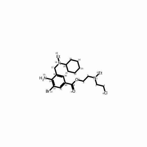 CCN(CCCl)CCOC(=O)c1cc(Br)c(N)c(CN(CC)C2CCCCC2)c1